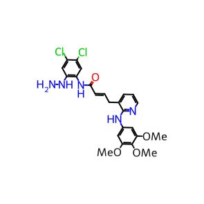 COc1cc(Nc2ncccc2C/C=C/C(=O)Nc2cc(Cl)c(Cl)cc2NN)cc(OC)c1OC